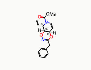 C=C[C@H]1[C@@H]2ON=C(Cc3ccccc3)O[C@@H]2C=CN1C(=O)OC